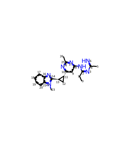 CC/C(=N/C(C)=N)Nc1cc([C@@H]2C[C@H]2c2nc3ccccc3n2C)nc(C)n1